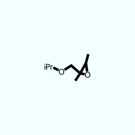 CC(C)OCC1(C)OC1C